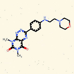 Cn1c(=O)c2nc(-c3ccc(NCCN4CCOCC4)cc3)nnc2n(C)c1=O